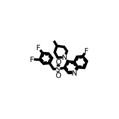 CC1CCN(c2c(S(=O)(=O)Cc3ccc(F)c(F)c3)cnc3ccc(F)cc23)CC1